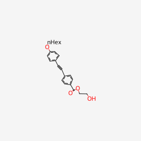 CCCCCCOc1ccc(C#Cc2ccc(C(=O)OCCO)cc2)cc1